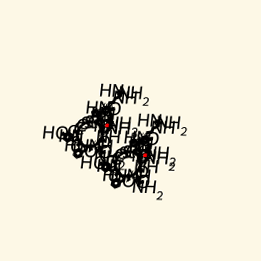 N=C(N)NCCC[C@H](NC(=O)[C@@H]1CCCN1C(=O)[C@@H]1CSSCCC(=O)N[C@@H](Cc2ccc(O)cc2)C(=O)N[C@@H](Cc2ccccc2)C(=O)N[C@@H](CCC(N)=O)C(=O)N[C@@H](CC(N)=O)C(=O)N1)C(=O)NCC(N)=O.N=C(N)NCCC[C@H](NC(=O)[C@@H]1CCCN1C(=O)[C@@H]1CSSCCC(=O)N[C@@H](Cc2ccc(O)cc2)C(=O)N[C@@H](Cc2ccccc2)C(=O)N[C@@H](CCC(N)=O)C(=O)N[C@@H](CC(N)=O)C(=O)N1)C(=O)NCC(N)=O